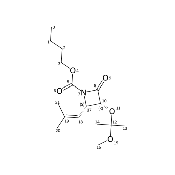 CCCCOC(=O)N1C(=O)[C@H](OC(C)(C)OC)[C@@H]1C=C(C)C